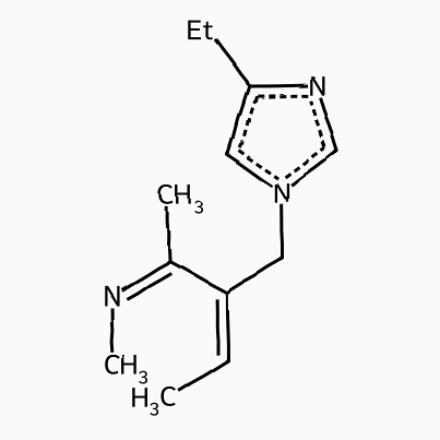 C/C=C(Cn1cnc(CC)c1)\C(C)=N/C